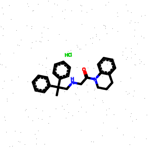 CC(CNCC(=O)N1CCCc2ccccc21)(c1ccccc1)c1ccccc1.Cl